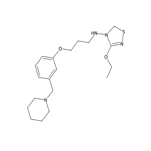 CCOC1=NSCN1NCCCOc1cccc(CN2CCCCC2)c1